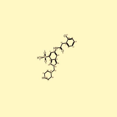 NS(=O)(=O)c1cc(NC(=O)Cc2ccccc2Cl)cc2cn(CN3CCNCC3)nc12